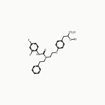 CCOC(Cc1ccc(OCCN(CCc2ccccc2)C(=O)Nc2ccc(F)cc2F)cc1)C(=O)O